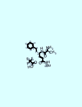 CCC(C)NC(=O)/C=C/[C@H](CCc1ccccc1)NC(=O)[C@H](C)N.O=C(O)C(F)(F)F